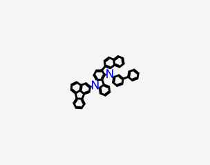 c1ccc(-c2cccc(-n3c4c5ccccc5ccc4c4ccc5c(c6ccccc6n5-c5cc6c7c(cccc7c5)-c5ccccc5-6)c43)c2)cc1